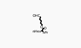 CCCCCCC(CCC)C(=O)OCCCCCC=O